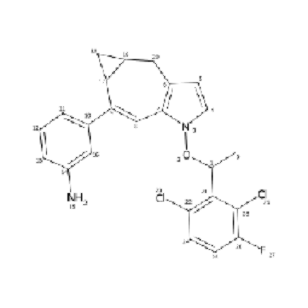 CC(On1ccc2c1C=C(c1cccc(N)c1)C1CC1C2)c1c(Cl)ccc(F)c1Cl